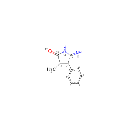 CC1=C(c2ccccc2)C(=N)NC1=O